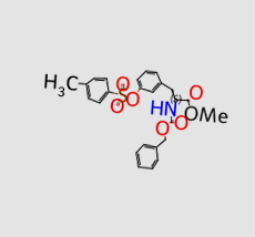 COC(=O)[C@H](Cc1cccc(OS(=O)(=O)c2ccc(C)cc2)c1)NC(=O)OCc1ccccc1